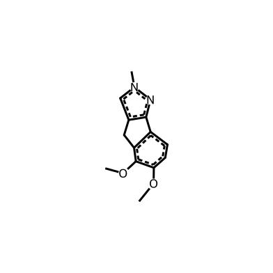 COc1ccc2c(c1OC)Cc1cn(C)nc1-2